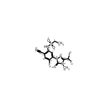 CCS(=O)(=O)Nc1cc(-n2nc(C(F)F)n(C)c2=S)c(F)cc1C#N